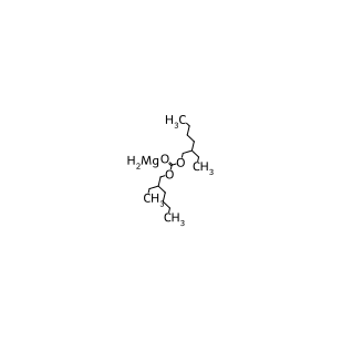 CCCCC(CC)COC(=O)OCC(CC)CCCC.[MgH2]